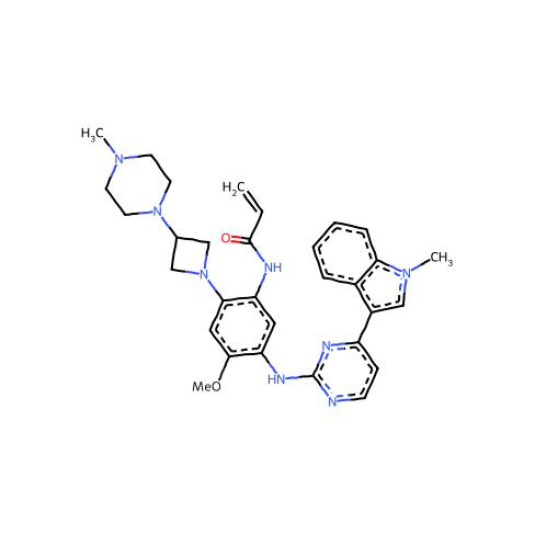 C=CC(=O)Nc1cc(Nc2nccc(-c3cn(C)c4ccccc34)n2)c(OC)cc1N1CC(N2CCN(C)CC2)C1